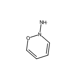 [NH]N1C=CC=CO1